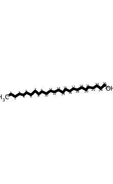 CCCCCCCCCCCCCCCCCCCCCCCCC[CH]O